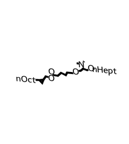 CCCCCCCCC1CC1COC(=O)CCCCCOCC(COCCCCCCC)N(C)C